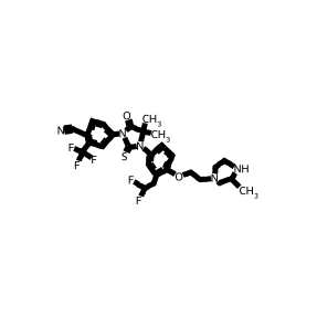 CC1CN(CCOc2ccc(N3C(=S)N(c4ccc(C#N)c(C(F)(F)F)c4)C(=O)C3(C)C)cc2CC(F)F)CCN1